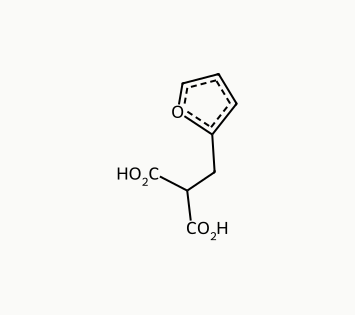 O=C(O)C(Cc1ccco1)C(=O)O